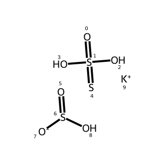 O=S(O)(O)=S.O=S([O-])O.[K+]